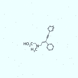 CN(C/C=C(/C#Cc1ccsc1)c1ccccc1)CC(=O)O